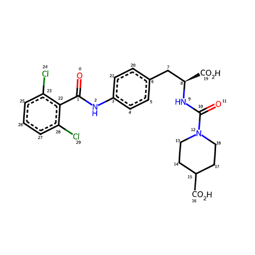 O=C(Nc1ccc(C[C@H](NC(=O)N2CCC(C(=O)O)CC2)C(=O)O)cc1)c1c(Cl)cccc1Cl